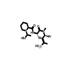 CCCCC(C)N1CCCCC1C(=O)N[C@H](C(=O)N(C)[C@H](/C=C(\C)C(=O)O)C(C)C)C(C)(C)C